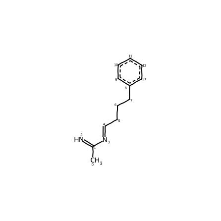 CC(=N)/N=C/CCCc1ccccc1